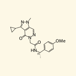 COc1ccc([C@H](C)NC(=O)Cn2ncc3c(c(C4CC4)nn3C)c2=O)cc1